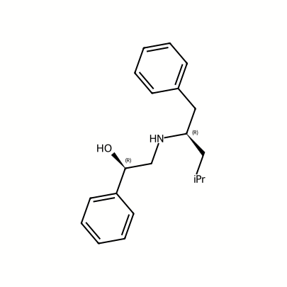 CC(C)C[C@H](Cc1ccccc1)NC[C@H](O)c1ccccc1